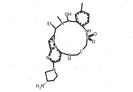 CCC1c2cc3nc(N4CC[C@H](N)C4)cc(n3n2)NCCCS(=O)(=O)Nc2ccc(C)cc2C(O)N1C